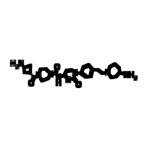 NC1CCCN(CCc2ccc(-n3ccc(NC(=O)N4CCN(C(=O)[C@H]5C[C@@H](N)C5)CC4)nc3=O)cc2)CC1